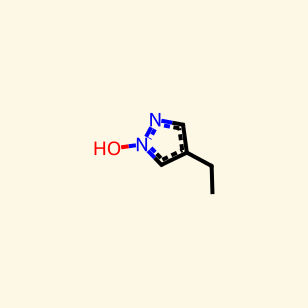 CCc1cnn(O)c1